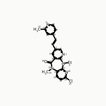 CCN1c2ncc(/C=C/c3ccnc(C)c3)cc2C(=O)N(C)c2ccc(Cl)nc21